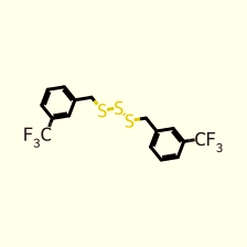 FC(F)(F)c1cccc(CSSSCc2cccc(C(F)(F)F)c2)c1